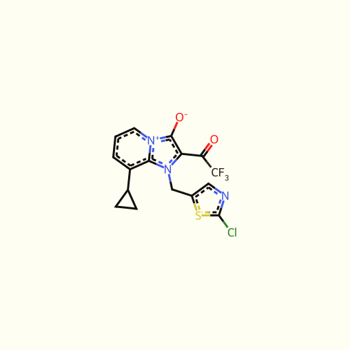 O=C(c1c([O-])[n+]2cccc(C3CC3)c2n1Cc1cnc(Cl)s1)C(F)(F)F